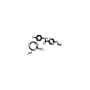 N/C1=N/[C@@H](c2cc(NC(=O)c3cnc(OCF)cn3)ccc2F)CCOC[C@@H](CF)O1